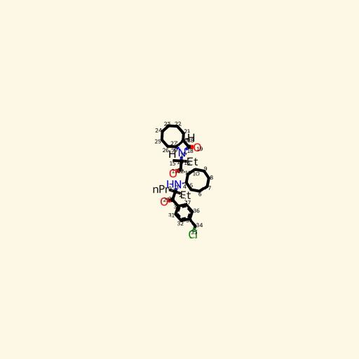 CCCC(CC)(N[C@H]1CCCCCC[C@H]1C(=O)C(C)(CC)N1C(=O)[C@@H]2CCCCCC[C@@H]21)C(=O)c1ccc(CCl)cc1